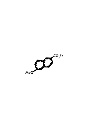 CCOC(=O)c1ccc2cc(OC)ccc2c1